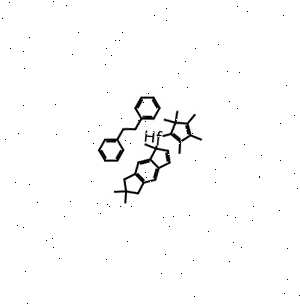 CC1=C(C)C(C)(C)[C]([Hf][C]2(C)C=Cc3cc4c(cc32)CC(C)(C)C4)=C1C.c1ccc(CCc2ccccc2)cc1